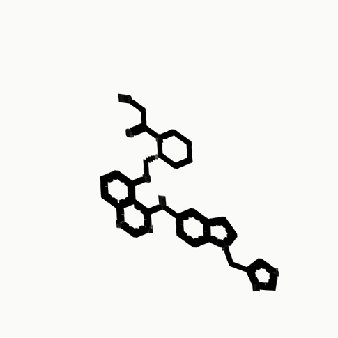 O=C(CO)N1CCCC[C@@H]1COc1cccc2ncnc(Nc3ccc4c(ccn4Cc4cscn4)c3)c12